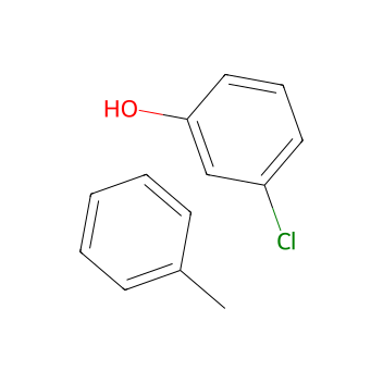 Cc1ccccc1.Oc1cccc(Cl)c1